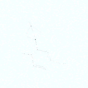 CSc1ncc(Cl)c(C23CC(C(=O)O)(C2)C3)n1